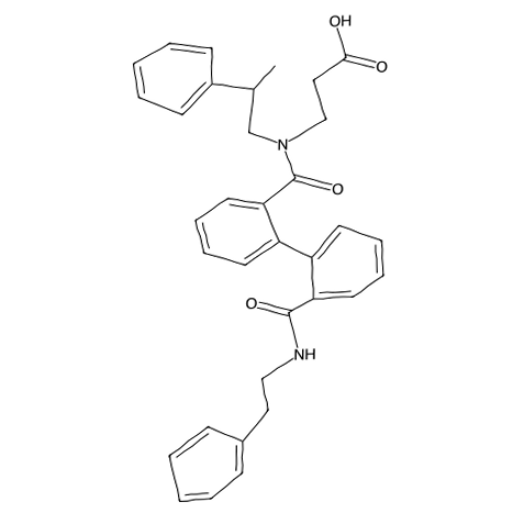 CC(CN(CCC(=O)O)C(=O)c1ccccc1-c1ccccc1C(=O)NCCc1ccccc1)c1ccccc1